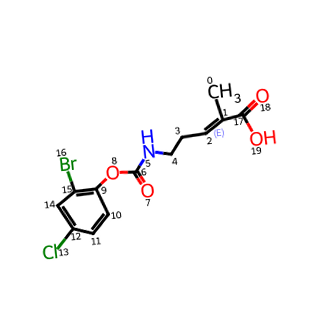 C/C(=C\CCNC(=O)Oc1ccc(Cl)cc1Br)C(=O)O